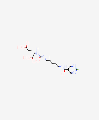 O=C(O)CC[C@H](NC(=O)NCCCCCNC(=O)c1cnc([18F])nc1)C(=O)O